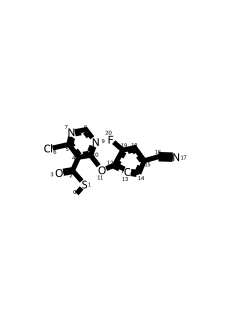 CSC(=O)c1c(Cl)ncnc1Oc1ccc(C#N)cc1F